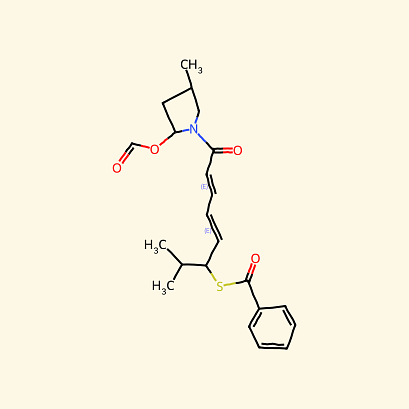 CC1CC(OC=O)N(C(=O)/C=C/C=C/C(SC(=O)c2ccccc2)C(C)C)C1